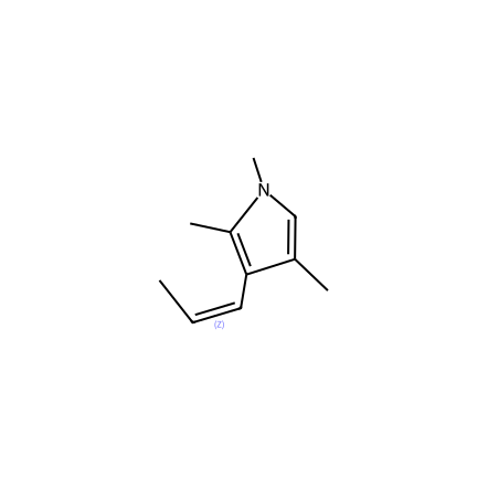 C/C=C\c1c(C)cn(C)c1C